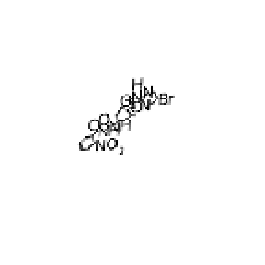 Cc1cc(NC(=O)NC(=O)c2ccccc2[N+](=O)[O-])ccc1S(=O)(=O)Nc1ncc(Br)cn1